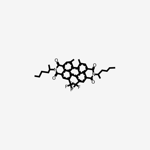 CCCCC(C)N1C(=O)c2cc(C)c3c4c(C)cc5c6c(cc(C(F)(F)F)c(c7c(C(F)(F)F)cc(c2c37)C1=O)c64)C(=O)N(C(C)CCCC)C5=O